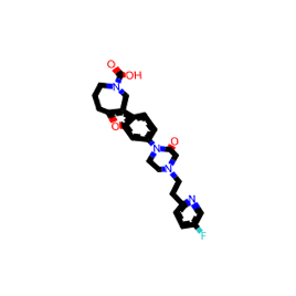 O=C(O)N1CCCc2oc3cc(N4CCN(CCc5ccc(F)cn5)CC4=O)ccc3c2C1